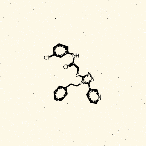 O=C(CSc1nnc(-c2cccnc2)n1CCc1ccccc1)Nc1cccc(Cl)c1